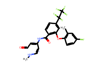 CN/C=C\C(=C/C=O)NC(=O)c1ccc(C(F)(F)C(F)(F)F)cc1Oc1ccc(F)cc1C